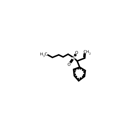 C=C[C](c1ccccc1)S(=O)(=O)CCCCC